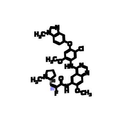 COc1cc2ncnc(Nc3cc(Cl)c(Oc4ccc5c(c4)ncn5C)cc3OC)c2cc1NC(=O)/C(F)=C\[C@H]1CCCN1C